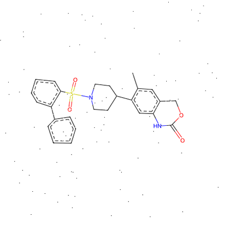 Cc1cc2c(cc1C1CCN(S(=O)(=O)c3ccccc3-c3ccccc3)CC1)NC(=O)OC2